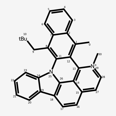 Cc1c2ccccc2c(CC(C)(C)C)c2c1c1c3c(ccc4c5ccccc5n2c43)cc[n+]1C